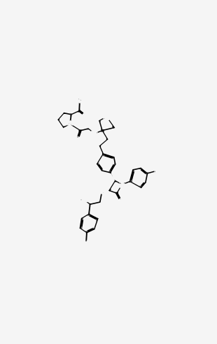 NC(=O)C1CCCN1C(=O)COC1(CCc2ccc([C@@H]3[C@@H](CCC(O)c4ccc(F)cc4)C(=O)N3c3ccc(F)cc3)cc2)COC1